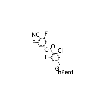 CCCCCOCc1cc(F)c(C(=O)Oc2cc(F)c(C#N)c(F)c2)c(Cl)c1